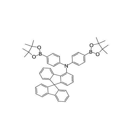 CC1(C)OB(c2ccc(N(c3ccc(B4OC(C)(C)C(C)(C)O4)cc3)c3cccc4c3-c3ccccc3C43c4ccccc4-c4ccccc43)cc2)OC1(C)C